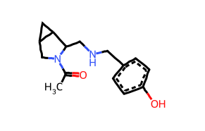 CC(=O)N1CC2CC2C1CNCc1ccc(O)cc1